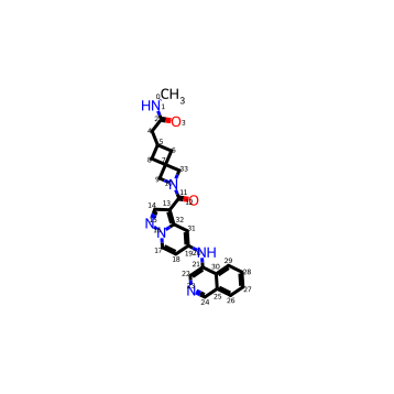 CNC(=O)CC1CC2(C1)CN(C(=O)c1cnn3ccc(Nc4cncc5ccccc45)cc13)C2